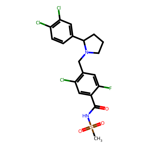 CS(=O)(=O)NC(=O)c1cc(Cl)c(CN2CCCC2c2ccc(Cl)c(Cl)c2)cc1F